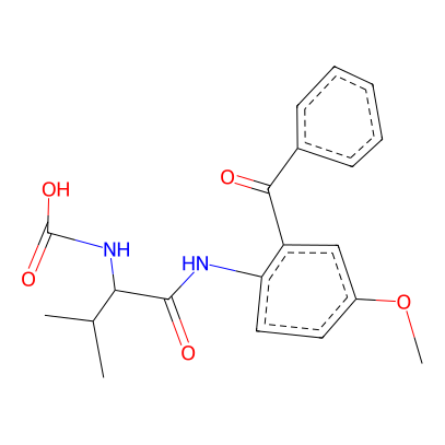 COc1ccc(NC(=O)C(NC(=O)O)C(C)C)c(C(=O)c2ccccc2)c1